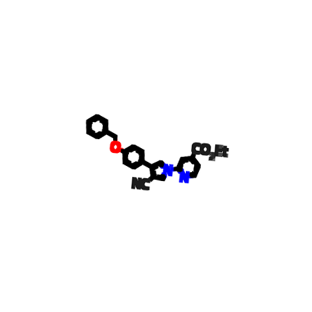 CCOC(=O)c1ccnc(-n2cc(C#N)c(-c3ccc(OCc4ccccc4)cc3)c2)c1